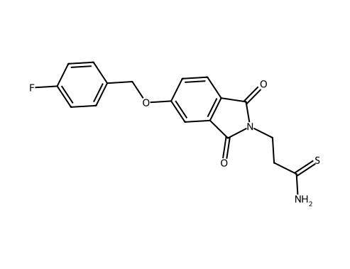 NC(=S)CCN1C(=O)c2ccc(OCc3ccc(F)cc3)cc2C1=O